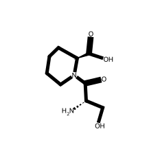 N[C@@H](CO)C(=O)N1CCCC[C@H]1C(=O)O